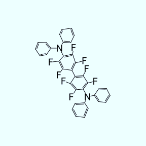 Fc1c(F)c(N(c2ccccc2)c2ccccc2)c(F)c(F)c1-c1c(F)c(F)c(N(c2ccccc2)c2ccccc2)c(F)c1F